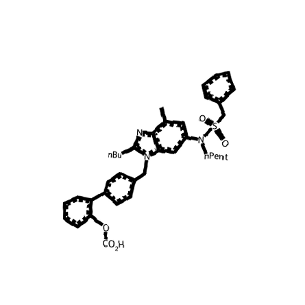 CCCCCN(c1cc(C)c2nc(CCCC)n(Cc3ccc(-c4ccccc4OC(=O)O)cc3)c2c1)S(=O)(=O)Cc1ccccc1